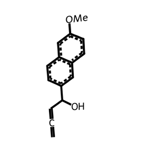 C=C=CC(O)c1ccc2cc(OC)ccc2c1